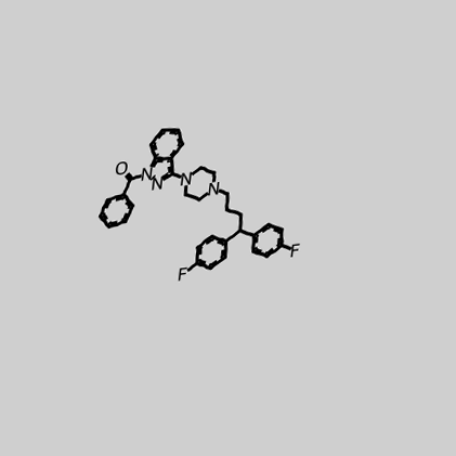 O=C(c1ccccc1)n1nc(N2CCN(CCCC(c3ccc(F)cc3)c3ccc(F)cc3)CC2)c2ccccc21